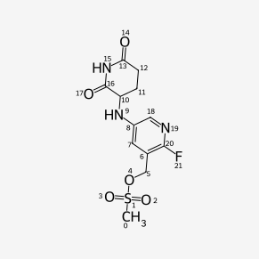 CS(=O)(=O)OCc1cc(NC2CCC(=O)NC2=O)cnc1F